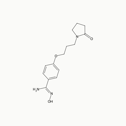 NC(=NO)c1ccc(OCCCN2CCCC2=O)cc1